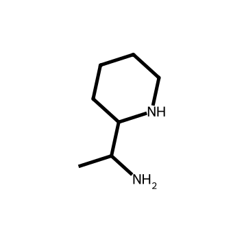 CC(N)C1CCCCN1